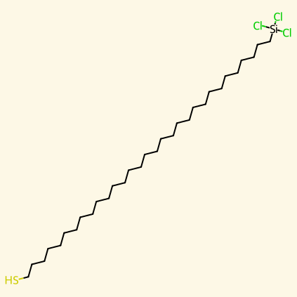 SCCCCCCCCCCCCCCCCCCCCCCCCCCCCCCC[Si](Cl)(Cl)Cl